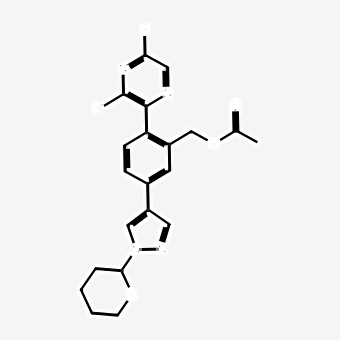 CC(=O)OCc1cc(-c2cnn(C3CCCCO3)c2)ccc1-c1ncc(Cl)nc1Cl